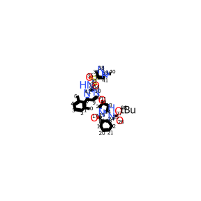 Cc1cccc(C)c1-c1cc(OC2CCN(C(=O)[C@@H]3CC=CCC3NC(=O)OC(C)(C)C)C2)nc(NS(=O)(=O)c2cnn(C)c2)n1